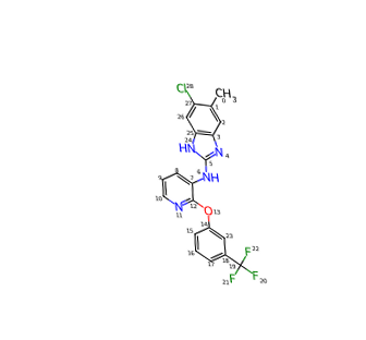 Cc1cc2nc(Nc3cccnc3Oc3cccc(C(F)(F)F)c3)[nH]c2cc1Cl